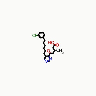 C[C@H](CC(=O)O)CC(=O)c1ncncc1CCCCCCc1cccc(Cl)c1